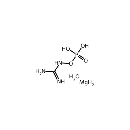 N=C(N)NOP(=O)(O)O.O.[MgH2]